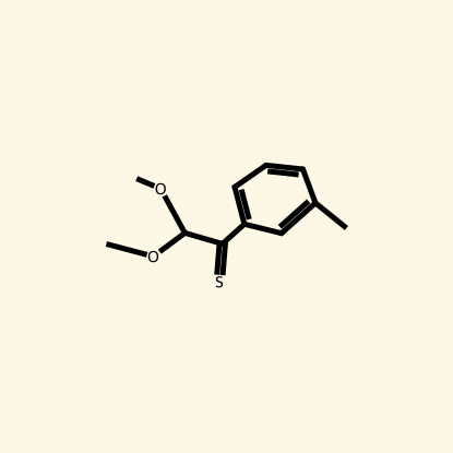 COC(OC)C(=S)c1cccc(C)c1